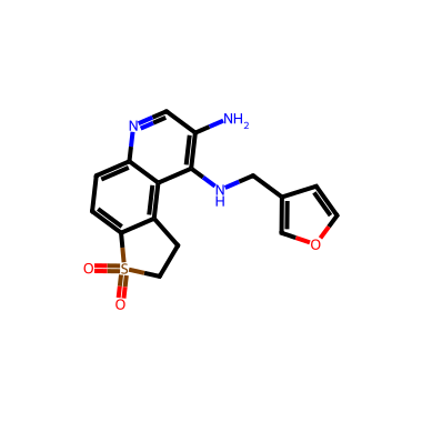 Nc1cnc2ccc3c(c2c1NCc1ccoc1)CCS3(=O)=O